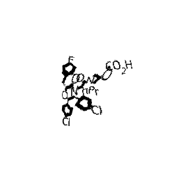 CCC[C@@H](C(=O)N1CC(OC(=O)O)C1)N1C(=O)[C@@H](Cc2ccc(F)cc2)O[C@H](c2ccc(Cl)cc2)[C@@H]1c1ccc(Cl)cc1